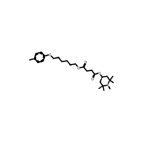 Cc1ccc(OCCCCCCOC(=O)CCC(=O)OC2CC(C)(C)N(C)C(C)(C)C2)cc1